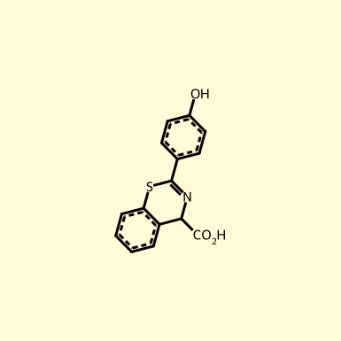 O=C(O)C1N=C(c2ccc(O)cc2)Sc2ccccc21